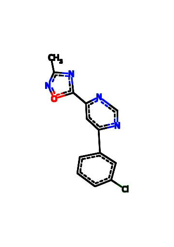 Cc1noc(-c2cc(-c3cccc(Cl)c3)ncn2)n1